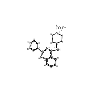 CCOC(=O)N1CCC(Nc2nc(-c3ccncc3)nc3ccccc23)CC1